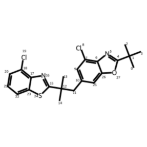 CC(C)(C)c1nc2c(Cl)cc(CC(C)(C)c3nc4c(Cl)cccc4s3)cc2o1